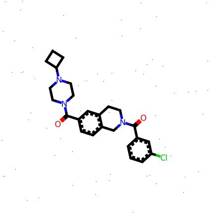 O=C(c1ccc2c(c1)CCN(C(=O)c1cccc(Cl)c1)C2)N1CCN(C2CCC2)CC1